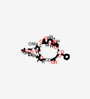 C=C1C[C@@H](OC(=O)c2ccccc2)CC[C@@]23C[C@H]4O[C@H]5[C@@H](O2)[C@H]2OC(CC[C@@H]2O[C@H]5[C@H]4O3)CC(=O)CC2[C@H](C[C@H]3O[C@@H](CC[C@H]1O)C[C@@H](C)C3=C)O[C@H](C[C@@H](CO[Si](C)(C)C(C)(C)C)O[Si](C)(C)C(C)(C)C)[C@@H]2OC